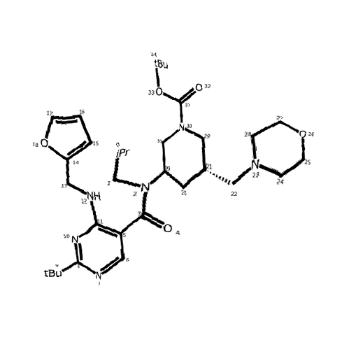 CC(C)CN(C(=O)c1cnc(C(C)(C)C)nc1NCc1ccco1)C1C[C@@H](CN2CCOCC2)CN(C(=O)OC(C)(C)C)C1